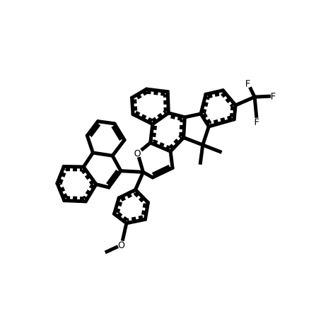 COc1ccc(C2(C3=Cc4ccccc4C4C=CC=CC34)C=Cc3c4c(c5ccccc5c3O2)-c2ccc(C(F)(F)F)cc2C4(C)C)cc1